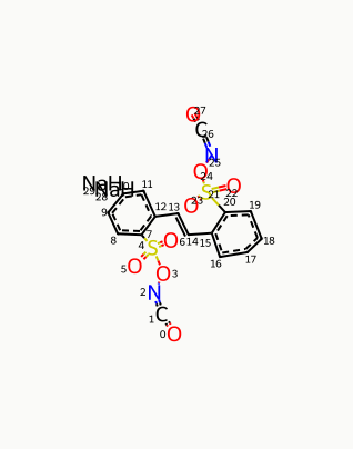 O=C=NOS(=O)(=O)c1ccccc1C=Cc1ccccc1S(=O)(=O)ON=C=O.[NaH].[NaH]